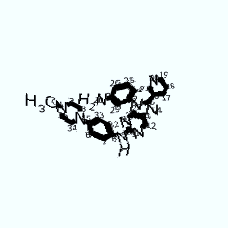 CN1CCN(c2ccc(Nc3ncc4nc(-c5cccnc5)n(-c5cccc(N)c5)c4n3)cc2)CC1